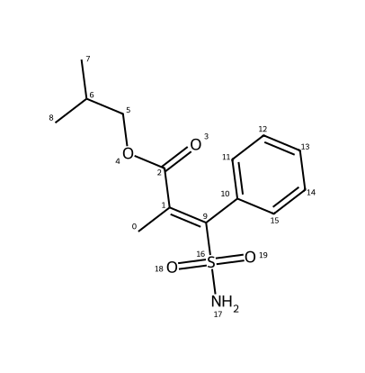 CC(C(=O)OCC(C)C)=C(c1ccccc1)S(N)(=O)=O